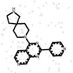 c1cc(-c2nc(N3CCC4(CCNC4)CC3)c3ccncc3n2)ccn1